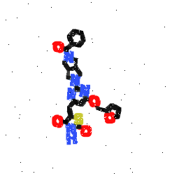 O=C1NC(=O)/C(=C/c2cc(OCc3ccco3)nc(N3CC4CN(C(=O)c5ccccc5)CC4C3)n2)S1